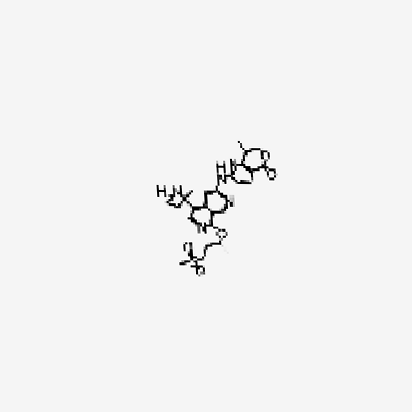 CCC(C)(N)c1cnc(O[C@H](C)CCS(C)(=O)=O)c2cnc(Nc3ccc4c(n3)[C@@H](C)COC4=O)cc12